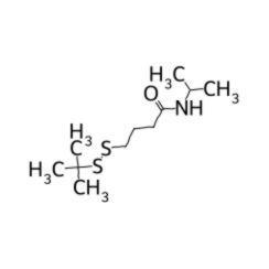 CC(C)NC(=O)CCCSSC(C)(C)C